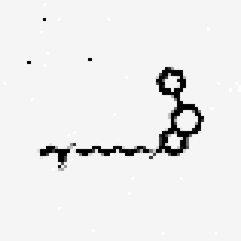 C=CC(=O)OCCCCCCOc1ccc2c(c1)C=C(c1ccccc1)CCC2